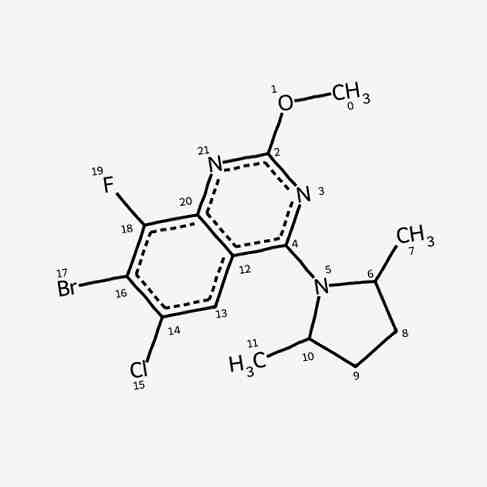 COc1nc(N2C(C)CCC2C)c2cc(Cl)c(Br)c(F)c2n1